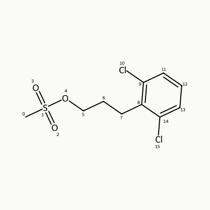 CS(=O)(=O)OCCCc1c(Cl)cccc1Cl